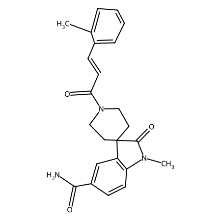 Cc1ccccc1/C=C/C(=O)N1CCC2(CC1)C(=O)N(C)c1ccc(C(N)=O)cc12